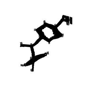 CC(c1ccc(O)cc1)S(C)(=O)=O